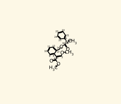 CO/C=C(/C(=O)OC)c1ccccc1COC(=O)N(C)c1ccccc1